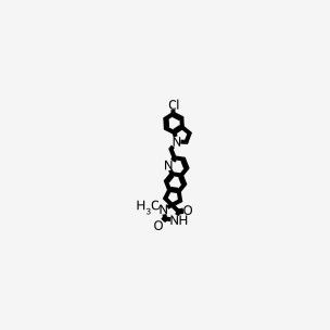 CN1C(=O)NC(=O)C12Cc1cc3ccc(CN4CCc5cc(Cl)ccc54)nc3cc1C2